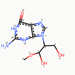 COC(O)C(CO)n1cnc2c(=O)[nH]c(N)nc21